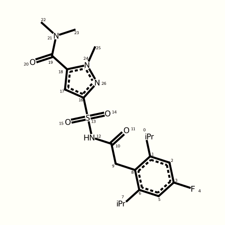 CC(C)c1cc(F)cc(C(C)C)c1CC(=O)NS(=O)(=O)c1cc(C(=O)N(C)C)n(C)n1